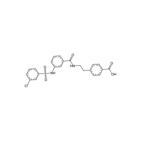 O=C(O)c1ccc(CCNC(=O)c2cccc(NS(=O)(=O)c3cccc(Cl)c3)c2)cc1